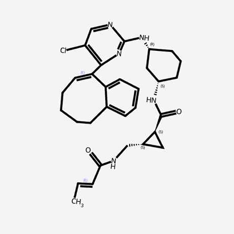 C/C=C/C(=O)NC[C@H]1C[C@@H]1C(=O)N[C@H]1CCC[C@@H](Nc2ncc(Cl)c(/C3=C/CCCCc4ccccc43)n2)C1